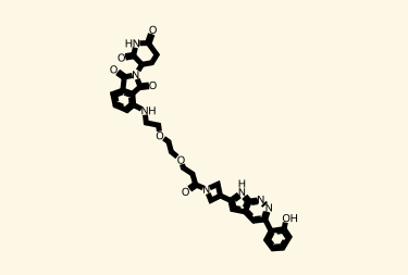 O=C1CCC(N2C(=O)c3cccc(NCCOCCOCCC(=O)N4CC(c5cc6cc(-c7ccccc7O)nnc6[nH]5)C4)c3C2=O)C(=O)N1